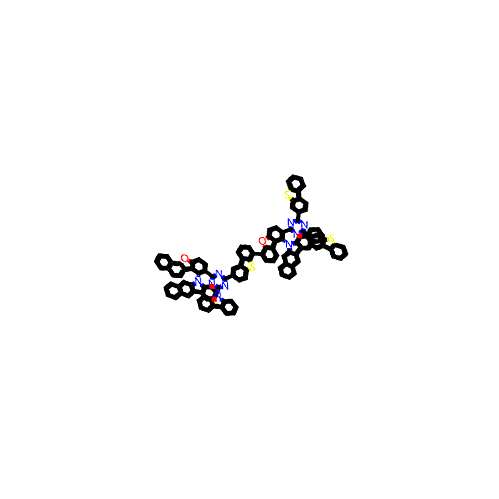 c1ccc2cc3c(cc2c1)c1cc2ccccc2cc1n3-c1c(-c2nc(-c3ccc4c(c3)sc3ccccc34)nc(-c3ccc4c(c3)sc3ccccc34)n2)ccc2oc3c(-c4cccc5c4sc4ccc(-c6nc(-c7ccc8oc9c%10ccccc%10ccc9c8c7-n7c8ccccc8c8cc9ccccc9cc87)nc(-n7c8ccccc8c8ccccc87)n6)cc45)cccc3c12